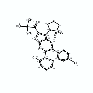 CC(C)(O)C(=O)c1oc2nc(-c3ccccc3Cl)c(-c3ccc(Cl)cc3)cc2c1N1CCCS1(=O)=O